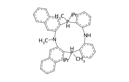 CC(C)[PH]1(C)c2ccccc2Nc2ccccc2[PH](C)(C(C)C)c2cc3ccccc3cc2N(C)c2cc3ccccc3cc21